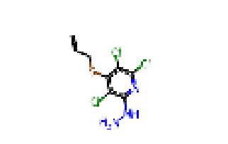 C=CCSc1c(Cl)c(Cl)nc(NN)c1Cl